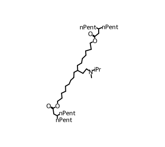 CCCCCC(CCCCC)CC(=O)OCCCCCCCCCC(CCCCCCCOC(=O)CC(CCCCC)CCCCC)CCN(C)C(C)C